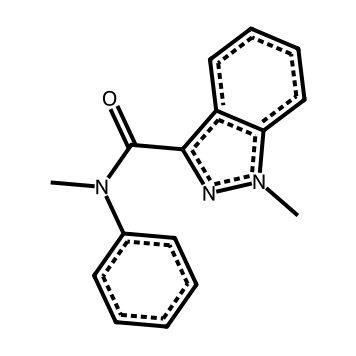 CN(C(=O)c1nn(C)c2ccccc12)c1ccccc1